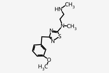 CNCCN(C)c1nc(Cc2cccc(OC)c2)ns1